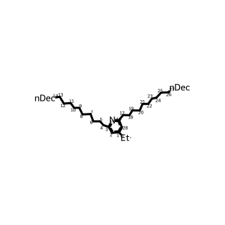 C[CH]c1cc(CCCCCCCCCCCCCCCCCCCC)nc(CCCCCCCCCCCCCCCCCCCC)c1